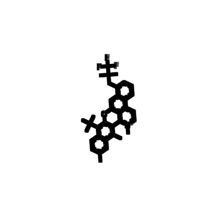 Cc1ccc2c(C(C)(C)C)c3c(c(C)c2c1)-c1c2c(cc4c(CC(C)(C)C(F)(F)F)cccc4c2cc[n+]1C)O3